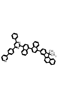 CC1(C)c2ccc(-c3ccc(-c4ccc(-c5nc(-c6ccccc6)cc(-c6ccc(-c7cccnc7)cc6)n5)c5ccccc45)c4ccccc34)cc2-c2ccc3ccccc3c21